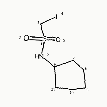 O=S(=O)(CI)NC1CCCCC1